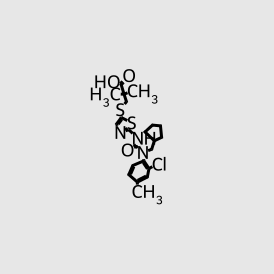 Cc1ccc(N(CC2CCCC2)C(=O)Nc2ncc(SCC(C)(C)C(=O)O)s2)c(Cl)c1